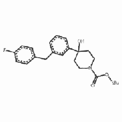 CC(C)(C)OC(=O)N1CCC(O)(c2cccc(Cc3ccc(F)cc3)c2)CC1